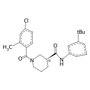 Cc1cc(Cl)ccc1C(=O)N1CCC[C@H](C(=O)Nc2cccc(C(C)(C)C)c2)C1